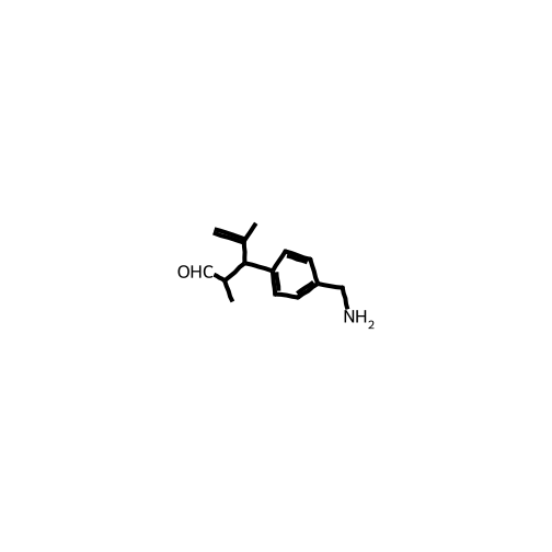 C=C(C)C(c1ccc(CN)cc1)C(C)C=O